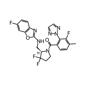 Cc1ccc(C(=O)N2CCC(F)(F)[C@H]2CNc2nc3ccc(F)cc3o2)c(-n2nccn2)c1F